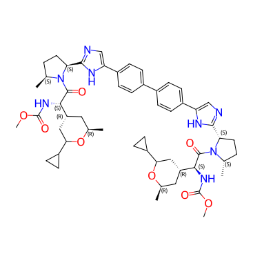 COC(=O)N[C@H](C(=O)N1[C@@H](C)CC[C@H]1c1ncc(-c2ccc(-c3ccc(-c4cnc([C@@H]5CC[C@H](C)N5C(=O)[C@@H](NC(=O)OC)[C@H]5CC(C6CC6)O[C@H](C)C5)[nH]4)cc3)cc2)[nH]1)[C@H]1CC(C2CC2)O[C@H](C)C1